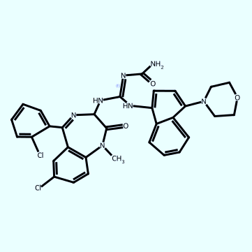 CN1C(=O)C(N/C(=N/C(N)=O)Nc2ccc(N3CCOCC3)c3ccccc23)N=C(c2ccccc2Cl)c2cc(Cl)ccc21